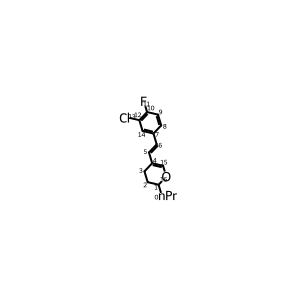 CCCC1CCC(/C=C/c2ccc(F)c(Cl)c2)=CO1